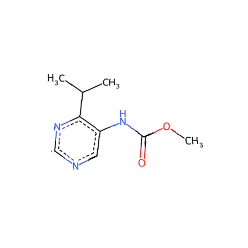 COC(=O)Nc1cn[c]nc1C(C)C